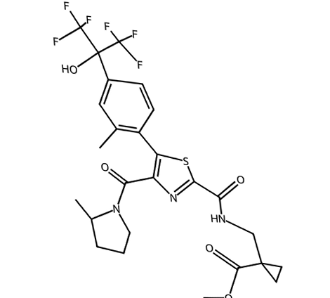 COC(=O)C1(CNC(=O)c2nc(C(=O)N3CCCC3C)c(-c3ccc(C(O)(C(F)(F)F)C(F)(F)F)cc3C)s2)CC1